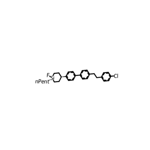 CCCCC[Si@]1(F)CC[C@@H](c2ccc(-c3ccc(CCc4ccc(Cl)cc4)cc3)cc2)CC1